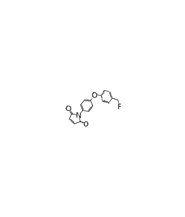 O=C1C=CC(=O)N1c1ccc(Oc2ccc(CF)cc2)cc1